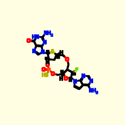 Nc1nc2c(ncn2[C@@H]2S[C@@H]3COCC4[C@@H](COP(=O)(S)O[C@@H]2C3)O[C@@H](n2ccc3c(N)ncnc32)[C@H]4F)c(=O)[nH]1